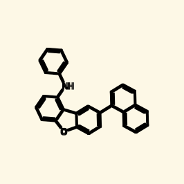 c1ccc(Nc2cccc3oc4ccc(-c5cccc6ccccc56)cc4c23)cc1